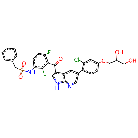 O=C(c1c(F)ccc(NS(=O)(=O)Cc2ccccc2)c1F)c1c[nH]c2ncc(-c3ccc(OCC(O)CO)cc3Cl)cc12